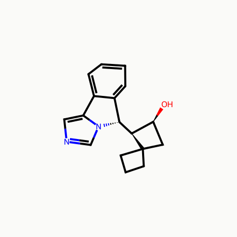 O[C@H]1CC2(CCC2)[C@H]1[C@H]1c2ccccc2-c2cncn21